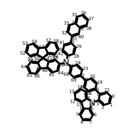 c1ccc(-n2c3ccccc3c3ccccc32)c(-c2ccc(-c3ccc(N(c4ccc(-c5ccc6ccccc6c5)cc4)c4ccc5c(c4)C4(c6ccccc6-c6ccccc64)c4ccccc4-5)cc3)cc2)c1